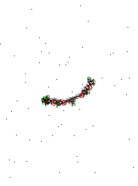 Cc1c(F)cc(C2CCC(c3ccc(OCCCCCC(C=C(F)F)CCCCCOc4ccc(C5CCC(c6cc(F)c(S(F)(F)(F)(F)F)c(F)c6)OC5)c(F)c4)cc3F)CO2)cc1F